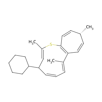 C/C1=C\C(C2CCCCC2)/C=C\C=C(/C)C2=C(C=C[C@H](C)C=C2)S1